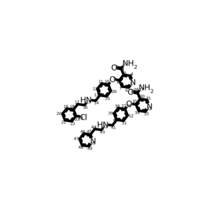 NC(=O)c1cnccc1Oc1ccc(CNCCc2ccccc2Cl)cc1.NC(=O)c1cnccc1Oc1ccc(CNCCc2ccccn2)cc1